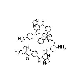 CCN(CC)C(=O)c1cccc(Nc2cc(N[C@H]3CC[C@H](N)CC3)nn3ccnc23)c1.CN(c1ccccc1)S(=O)(=O)c1cccc(Nc2cc(N[C@H]3CC[C@H](N)CC3)nn3ccnc23)c1